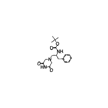 CC(C)(C)OC(=O)NC(Cc1ccccc1)CN1CC(=O)NC(=O)C1